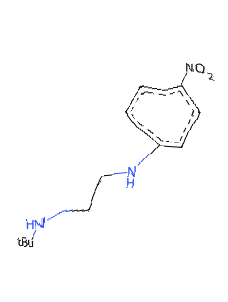 CC(C)(C)NCCNc1ccc([N+](=O)[O-])cc1